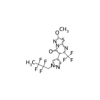 COc1nn2c(=O)c(-c3cnn(CC(F)(F)C(C)(F)F)c3)c(C(F)(F)F)nc2s1